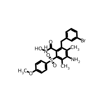 COc1ccc(S(=O)(=O)c2c(C)c(N)c(C)c(Cc3cccc(Br)c3)c2C(=O)NO)cc1